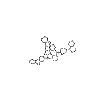 c1ccc(N(c2ccc(-c3cccc4ccccc34)cc2)c2cccc3c2n2c4cc5oc6ccccc6c5cc4c4c5cc6c(cc5n3c42)oc2ccccc26)cc1